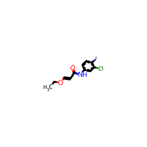 CCOC=CC(=O)Nc1ccc(I)c(Cl)c1